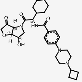 O=C(N[C@H](C(=O)N1C[C@@H](O)[C@H]2OCC(=O)[C@H]21)C1CCCCC1)c1ccc(N2CCN(C3CCC3)CC2)cc1